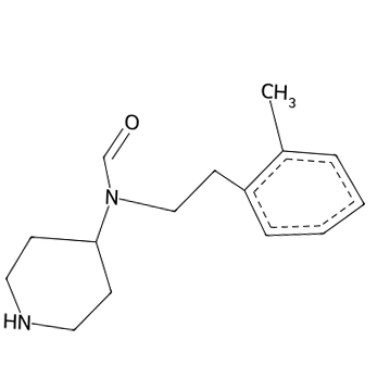 Cc1ccccc1CCN(C=O)C1CCNCC1